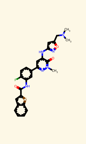 CN(C)Cc1cc(Nc2cc(-c3ccc(F)c(NC(=O)c4cc5ccccc5s4)c3)nn(C)c2=O)no1